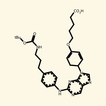 CC(C)(C)OC(=O)NCCCc1ccc(Nc2ncc3ncn(C4C=CC(OCCCCC(=O)O)=CC4)c3n2)cc1